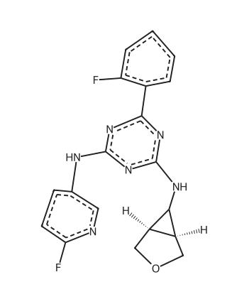 Fc1ccc(Nc2nc(NC3[C@H]4COC[C@@H]34)nc(-c3ccccc3F)n2)cn1